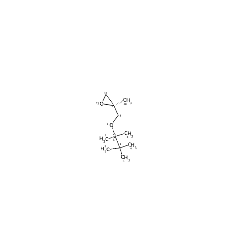 CC(C)(C)[Si](C)(C)OC[C@]1(C)CO1